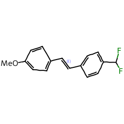 COc1ccc(/C=C/c2ccc(C(F)F)cc2)cc1